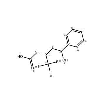 O=C(O)C[C@H](CC(O)c1ccccn1)C(F)(F)F